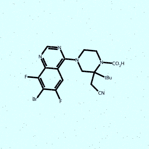 CC(C)(C)C1(CC#N)CN(c2ncnc3c(F)c(Br)c(F)cc23)CCN1C(=O)O